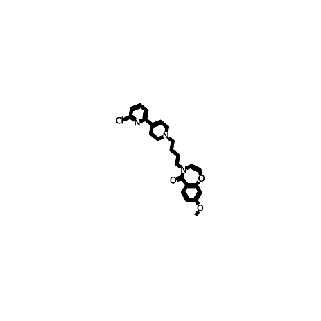 COc1ccc2c(c1)OC=CN(CCCCN1CC=C(c3cccc(Cl)n3)CC1)C2=O